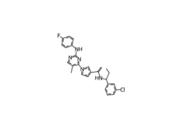 C=C(NC(CC)c1cccc(Cl)c1)c1ccn(-c2nc(Nc3ccc(F)cc3)ncc2C)c1